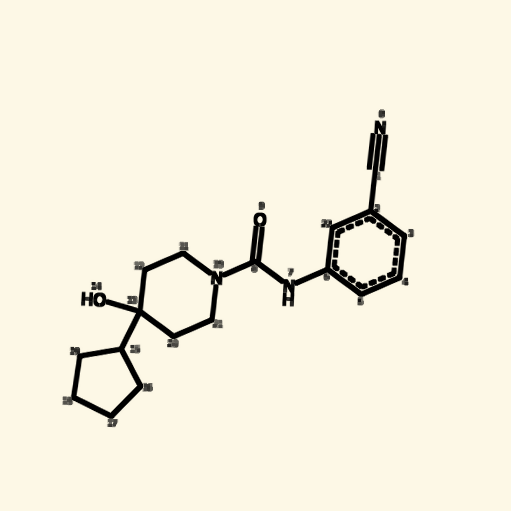 N#Cc1cccc(NC(=O)N2CCC(O)(C3CCCC3)CC2)c1